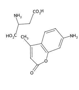 Cc1cc(=O)oc2cc(N)ccc12.NC(CC(=O)O)C(=O)O